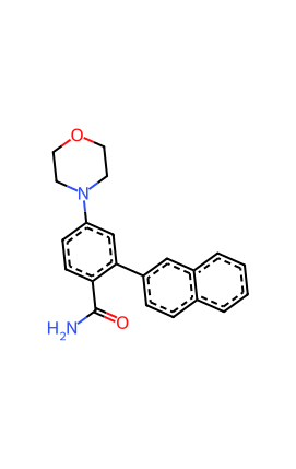 NC(=O)c1ccc(N2CCOCC2)cc1-c1ccc2ccccc2c1